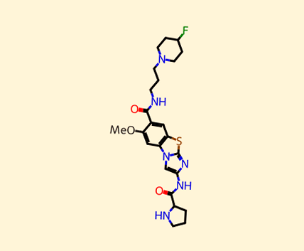 COc1cc2c(cc1C(=O)NCCCN1CCC(F)CC1)sc1nc(NC(=O)C3CCCN3)cn12